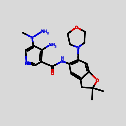 CN(N)c1cncc(C(=O)Nc2cc3c(cc2N2CCOCC2)OC(C)(C)C3)c1N